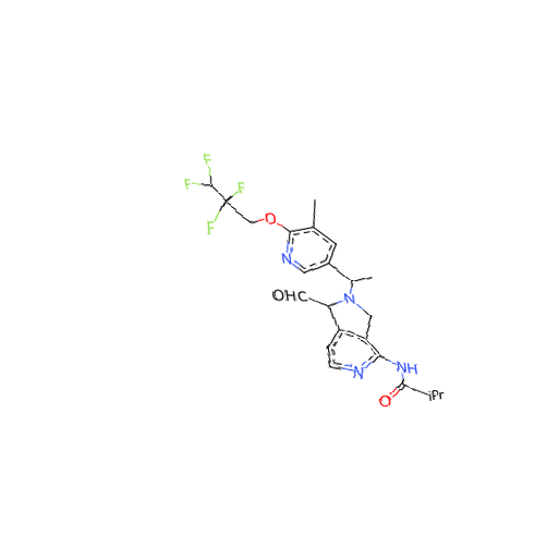 Cc1cc(C(C)N2Cc3c(ccnc3NC(=O)C(C)C)C2C=O)cnc1OCC(F)(F)C(F)F